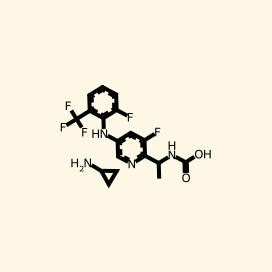 CC(NC(=O)O)c1ncc(Nc2c(F)cccc2C(F)(F)F)cc1F.NC1CC1